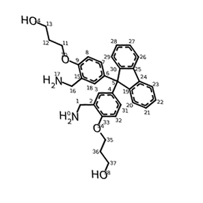 NCc1cc(C2(c3ccc(OCCCO)c(CN)c3)c3ccccc3-c3ccccc32)ccc1OCCCO